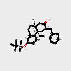 CC[C@@]12C/C(=C\c3ccccc3)C(=O)C[C@H]1CCc1cc(O[Si](C)(C)C(C)(C)C)ccc12